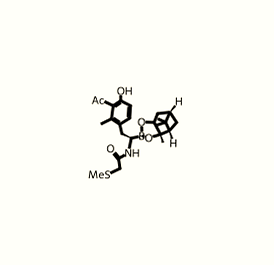 CSCC(=O)N[C@@H](Cc1ccc(O)c(C(C)=O)c1C)B1OC2C[C@@H]3C[C@@H](C3(C)C)[C@]2(C)O1